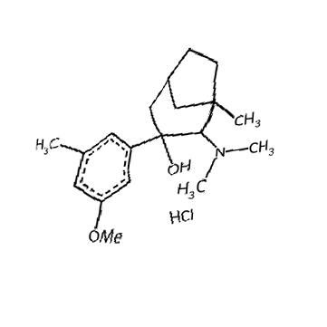 COc1cc(C)cc(C2(O)CC3CCC(C)(C3)C2N(C)C)c1.Cl